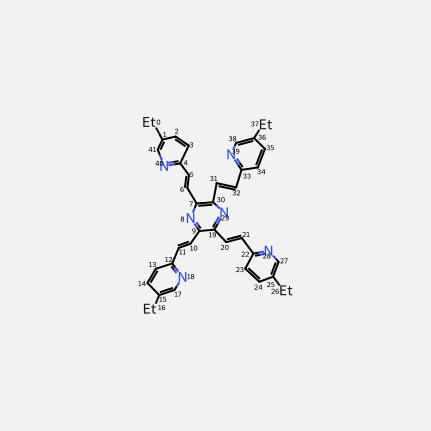 CCc1ccc(C=Cc2nc(C=Cc3ccc(CC)cn3)c(C=Cc3ccc(CC)cn3)nc2C=Cc2ccc(CC)cn2)nc1